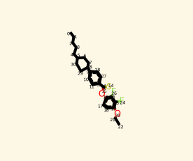 CCCCCC1CCC(c2ccc(C(=S)Oc3ccc(OCC)c(F)c3F)cc2)CC1